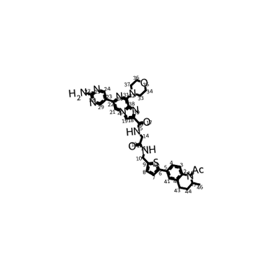 CC(=O)N1c2ccc(-c3ccc(CNC(=O)CNC(=O)c4cn5cc(-c6cnc(N)nc6)nc(N6CCOCC6)c5n4)s3)cc2CCC1C